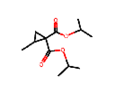 CC(C)OC(=O)C1(C(=O)OC(C)C)CC1C